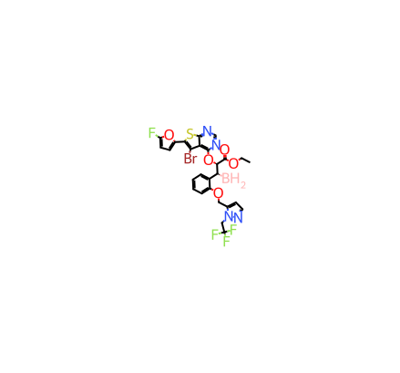 B[C@@H](c1ccccc1OCc1ccnn1CC(F)(F)F)[C@@H](Oc1ncnc2sc(-c3ccc(F)o3)c(Br)c12)C(=O)OCC